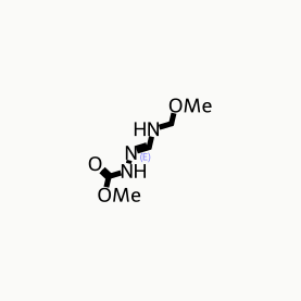 COCN/C=N/NC(=O)OC